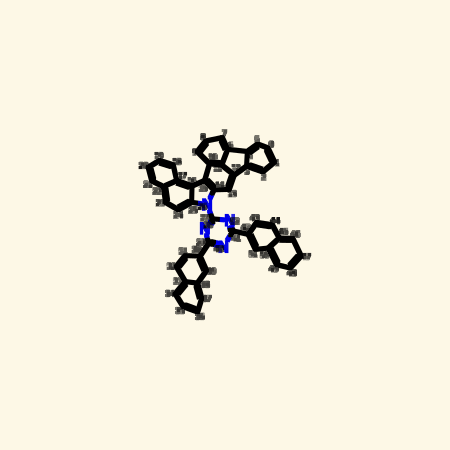 c1ccc2c(c1)-c1cccc3c1c-2cc1c3c2c3ccccc3ccc2n1-c1nc(-c2ccc3ccccc3c2)nc(-c2ccc3ccccc3c2)n1